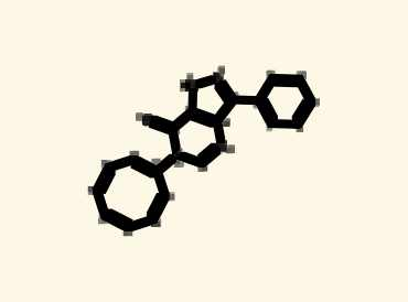 O=c1c2[nH]nc(-c3ccccc3)c2ncn1C1=CC=CC=CC=C1